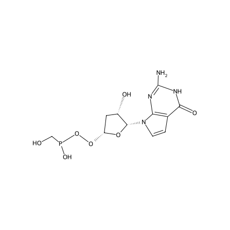 Nc1nc2c(ccn2[C@@H]2O[C@H](OOP(O)CO)C[C@@H]2O)c(=O)[nH]1